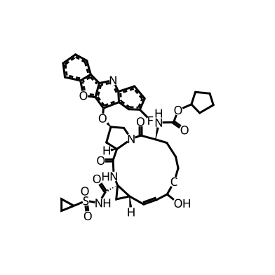 O=C(N[C@H]1CCCCC(O)/C=C\[C@@H]2C[C@@]2(C(=O)NS(=O)(=O)C2CC2)NC(=O)[C@@H]2C[C@@H](Oc3c4cc(F)ccc4nc4c3oc3ccccc34)CN2C1=O)OC1CCCC1